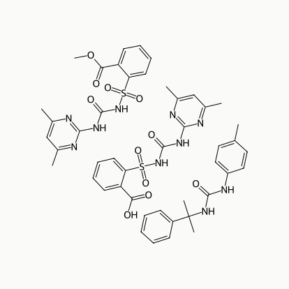 COC(=O)c1ccccc1S(=O)(=O)NC(=O)Nc1nc(C)cc(C)n1.Cc1cc(C)nc(NC(=O)NS(=O)(=O)c2ccccc2C(=O)O)n1.Cc1ccc(NC(=O)NC(C)(C)c2ccccc2)cc1